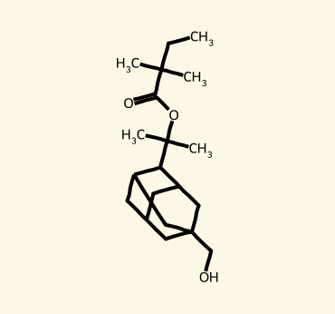 CCC(C)(C)C(=O)OC(C)(C)C1C2CC3CC1CC(CO)(C3)C2